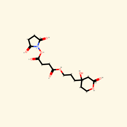 O=C(CCC(=O)ON1C(=O)CCC1=O)OCCCC1(O)CCOC(=O)C1